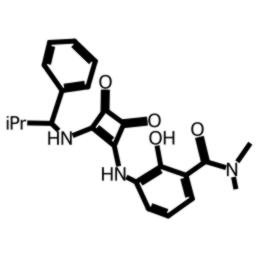 CC(C)C(Nc1c(Nc2cccc(C(=O)N(C)C)c2O)c(=O)c1=O)c1ccccc1